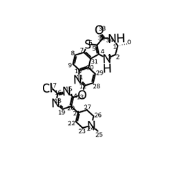 C[C@@H]1CNc2c(sc3ccc4nc(Oc5nc(Cl)ncc5C5=CCN(C)CC5)ccc4c23)C(=O)N1